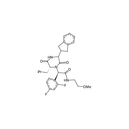 COCCNC(=O)[C@@H](c1ccc(F)cc1F)N1C(=O)C(C2Cc3ccccc3C2)NC(=O)[C@H]1CC(C)C